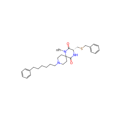 CCCN1C(=O)[C@H](CSCc2ccccc2)NC(=O)C12CCN(CCCCCCc1ccccc1)CC2